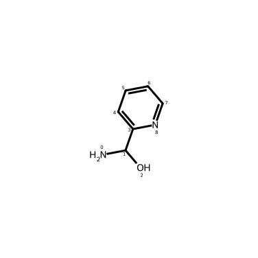 NC(O)c1ccccn1